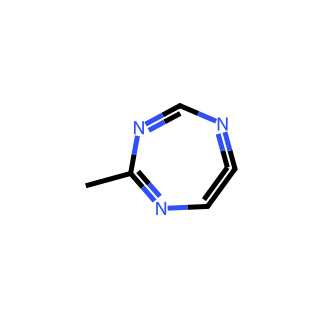 CC1=NC=C=NC=N1